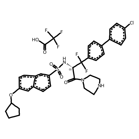 O=C(O)C(F)(F)F.O=C([C@H](NS(=O)(=O)c1ccc2cc(OC3CCCC3)ccc2c1)C(F)(F)c1ccc(-c2ccc(Cl)cc2)cc1)N1CCNCC1